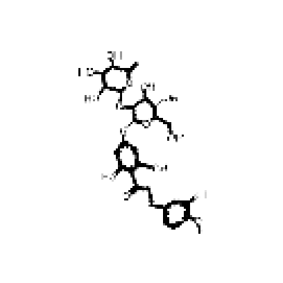 COc1ccc(CCC(=O)c2c(O)cc(O[C@@H]3OC(CO)[C@@H](O)C(O)C3O[C@@H]3OC(C)[C@H](O)C(O)C3O)cc2O)cc1O